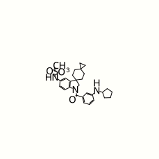 CS(=O)(=O)Nc1ccc2c(c1)C1(CCC3(CC3)CC1)CN2C(=O)c1cccc(NC2CCCC2)c1